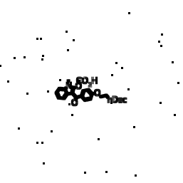 CCCCCCCCCCCCOc1ccc(C(=O)c2c(OC(=O)O)n(C)c3ccccc23)cc1